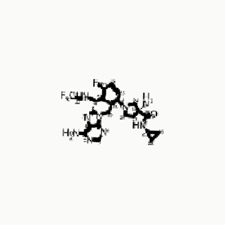 Nc1ncnc2c1ncn2Cc1c(N2CC[C@](N)(C(=O)NC3CC3)C2)ccc(F)c1CNCC(F)(F)F